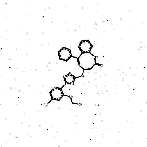 N#CCNc1cc(C(F)(F)F)cnc1-c1nnc(N[C@@H]2CC(=O)Nc3ccccc3/C(c3ccccc3)=N\2)o1